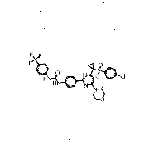 C[C@H]1COCCN1c1cc(C2(S(=O)(=O)c3ccc(Cl)cc3)CC2)nc(-c2ccc(NC(=O)Nc3ccc(C(F)(F)F)cc3)cc2)n1